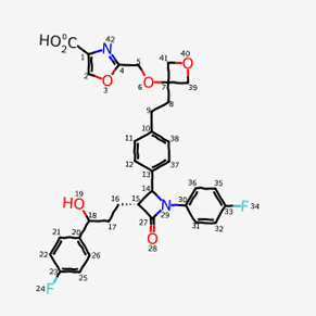 O=C(O)c1coc(COC2(CCc3ccc(C4[C@@H](CCC(O)c5ccc(F)cc5)C(=O)N4c4ccc(F)cc4)cc3)COC2)n1